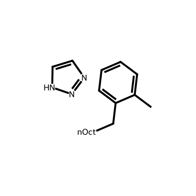 CCCCCCCCCc1ccccc1C.c1c[nH]nn1